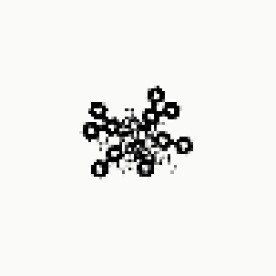 Cc1cccc(C)c1-c1nc2c3c(n1)N(c1c(C)cc(-c4ccccc4)cc1C)c1c4n(c5cc(-c6ccccc6)c(-c6ccccc6)cc15)C(=O)n1c(c(c5cc(-c6ccccc6)c(-c6ccccc6)cc51)N2c1c(C)cc(-c2ccccc2)cc1C)B34